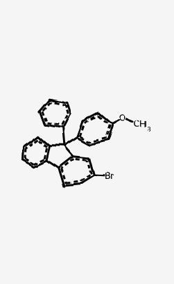 COc1ccc(C2(c3ccccc3)c3ccccc3-c3ccc(Br)cc32)cc1